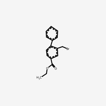 CCOC(=O)c1ccc(-c2ccccc2)c(CBr)c1